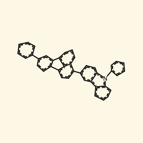 c1ccc(-c2ccc3c(c2)-c2cccc4c(-c5ccc6c(c5)c5ccccc5n6-c5ccccc5)ccc-3c24)cc1